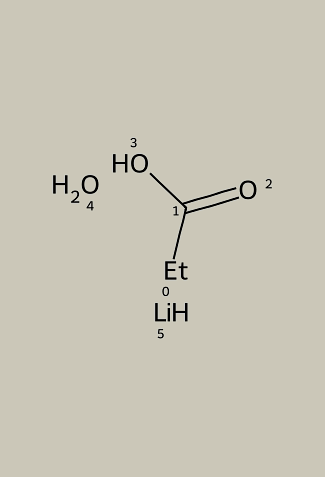 CCC(=O)O.O.[LiH]